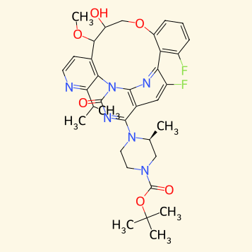 COC1c2ccnc(C(C)C)c2-n2c(=O)nc(N3CCN(C(=O)OC(C)(C)C)C[C@@H]3C)c3cc(F)c(nc32)-c2c(F)cccc2OCC1O